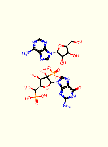 Nc1nc2c(ncn2[C@@H]2O[C@H](C(O)P(=O)(O)O)[C@@H](O)[C@]2(O)P(=O)(O)O)c(=O)[nH]1.Nc1ncnc2c1ncn2[C@@H]1O[C@H](CO)[C@@H](O)[C@H]1O